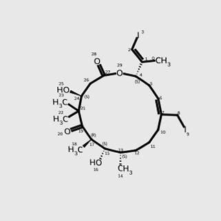 CC(=CI)[C@@H]1CC=C(CI)CCC[C@H](C)[C@H](O)[C@@H](C)C(=O)C(C)(C)[C@@H](O)CC(=O)O1